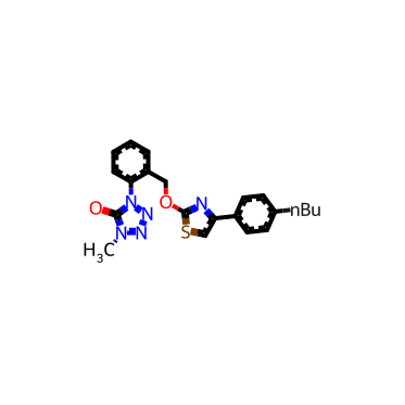 CCCCc1ccc(-c2csc(OCc3ccccc3-n3nnn(C)c3=O)n2)cc1